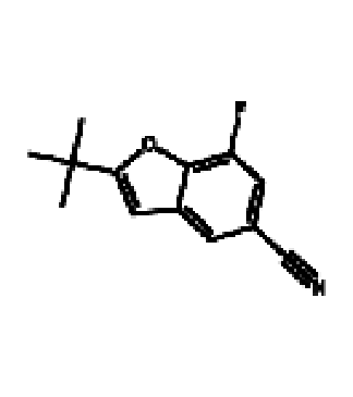 CC(C)(C)c1cc2cc(C#N)cc(F)c2o1